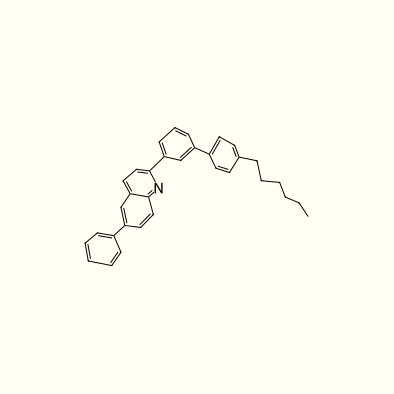 CCCCCCc1ccc(-c2cccc(-c3ccc4cc(-c5ccccc5)ccc4n3)c2)cc1